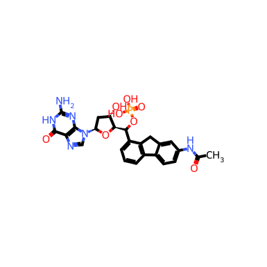 CC(=O)Nc1ccc2c(c1)Cc1c-2cccc1C(OP(=O)(O)O)[C@H]1O[C@@H](n2cnc3c(=O)[nH]c(N)nc32)C[C@@H]1O